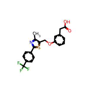 Cc1nc(-c2ccc(C(F)(F)F)cc2)sc1COc1cccc(CC(=O)O)c1